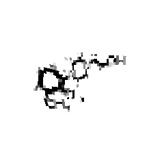 Cc1cccc(N2CCN(CCO)CC2)c1C